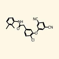 Cc1cccc(NC(=O)Cc2ccc(Cl)c(Oc3cc(C#N)cc(C#N)c3)c2)c1C